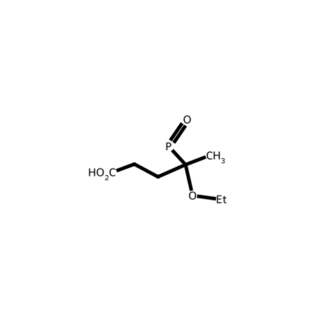 CCOC(C)(CCC(=O)O)P=O